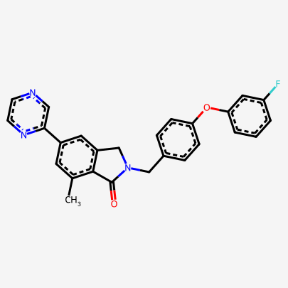 Cc1cc(-c2cnccn2)cc2c1C(=O)N(Cc1ccc(Oc3cccc(F)c3)cc1)C2